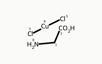 NCC(=O)O.[Cl][Cu][Cl]